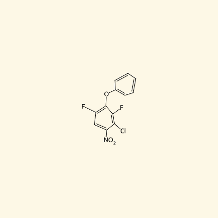 O=[N+]([O-])c1cc(F)c(Oc2ccccc2)c(F)c1Cl